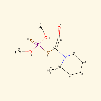 CCCOP(=S)(OCCC)SC(=C=O)N1CCCCC1C